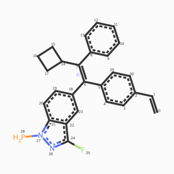 C=Cc1ccc(/C(=C(\c2ccccc2)C2CCC2)c2ccc3c(c2)c(F)nn3P)cc1